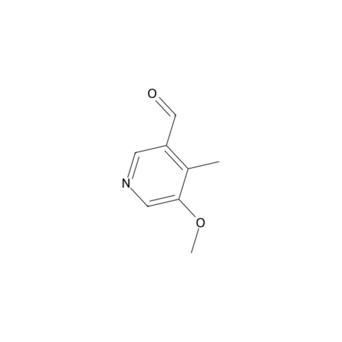 COc1cncc(C=O)c1C